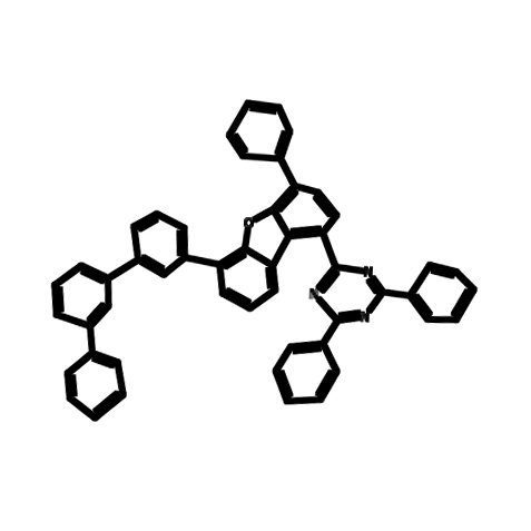 c1ccc(-c2cccc(-c3cccc(-c4cccc5c4oc4c(-c6ccccc6)ccc(-c6nc(-c7ccccc7)nc(-c7ccccc7)n6)c45)c3)c2)cc1